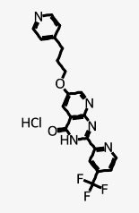 Cl.O=c1[nH]c(-c2cc(C(F)(F)F)ccn2)nc2ncc(OCCCc3ccncc3)cc12